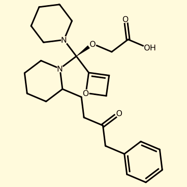 O=C(O)CO[C@](C1=CCO1)(N1CCCCC1)N1CCCCC1CCC(=O)Cc1ccccc1